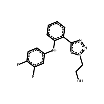 OCCn1nnc(-c2ccccc2Nc2ccc(F)c(F)c2)n1